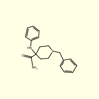 NC(=O)C1(Nc2ccccc2)CCN(Cc2ccccc2)CC1